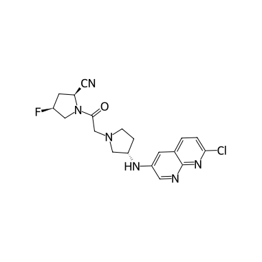 N#C[C@@H]1C[C@H](F)CN1C(=O)CN1CC[C@H](Nc2cnc3nc(Cl)ccc3c2)C1